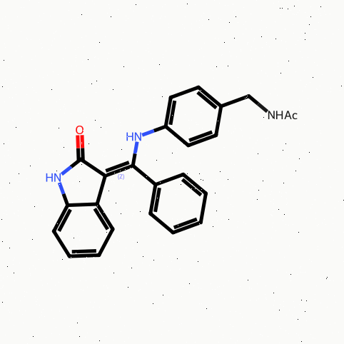 CC(=O)NCc1ccc(N/C(=C2\C(=O)Nc3ccccc32)c2ccccc2)cc1